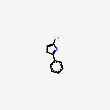 CC1=CCC(c2ccccc2)=N1